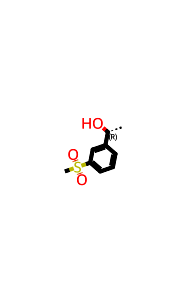 C[C@@H](O)c1cccc(S(C)(=O)=O)c1